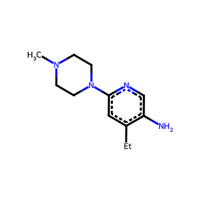 CCc1cc(N2CCN(C)CC2)ncc1N